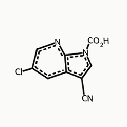 N#Cc1cn(C(=O)O)c2ncc(Cl)cc12